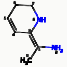 C/C(N)=C1\C=CCCN1